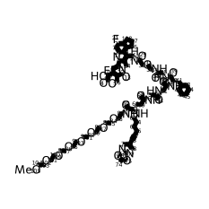 CC[C@@]1(O)C(=O)OCc2c1cc1n(c2=O)Cc2c-1nc1cc(F)c3c(c1c2CNC(=O)COCNC(=O)CNC(=O)[C@H](Cc1ccccc1)NC(=O)CNC(=O)CNC(=O)CC[C@H](NCCCCC#Cc1cnc(S(C)(=O)=O)nc1)C(=O)NCCOCCOCCOCCOCCOCCOCCOCCOC)CCC3